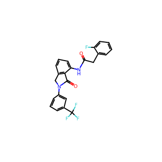 O=C(Cc1ccccc1F)Nc1cccc2c1C(=O)N(c1cccc(C(F)(F)F)c1)C2